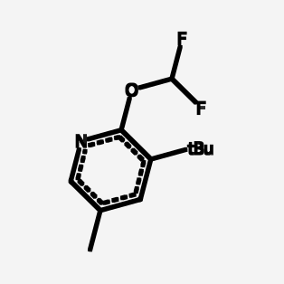 Cc1cnc(OC(F)F)c(C(C)(C)C)c1